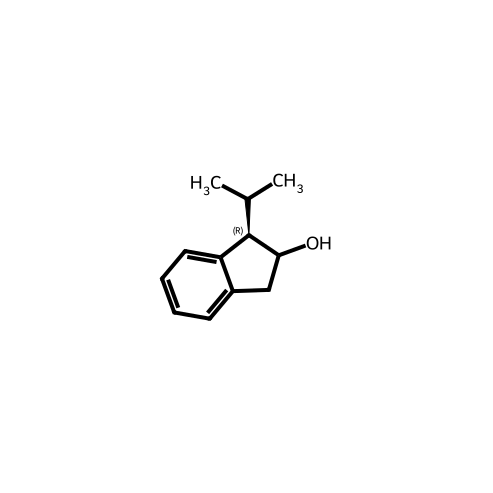 CC(C)[C@@H]1c2ccccc2CC1O